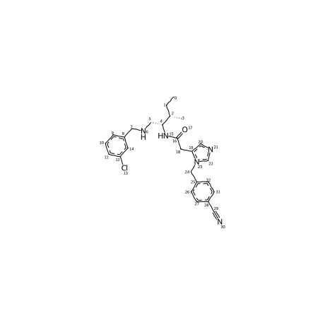 CC[C@H](C)[C@@H](CNCc1cccc(Cl)c1)NC(=O)Cc1cncn1Cc1ccc(C#N)cc1